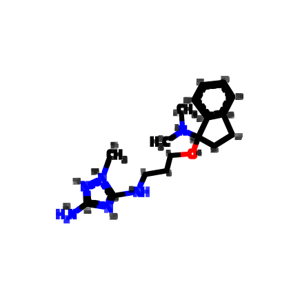 CN(C)C1(OCCCNc2nc(N)nn2C)CCc2ccccc21